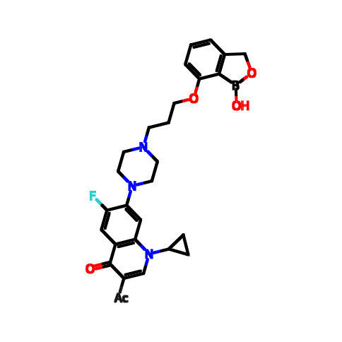 CC(=O)c1cn(C2CC2)c2cc(N3CCN(CCCOc4cccc5c4B(O)OC5)CC3)c(F)cc2c1=O